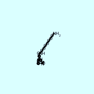 Cc1noc(C)c1-c1cnc2c(-c3ccc(C(=O)NCCOCCOCCOCCOCCOCCOCCOCCN)cc3)cn([C@@H](C)c3ccccn3)c2c1